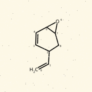 C=CC1C=CC2OC2C1